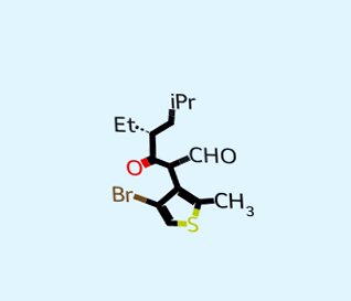 CC[C@H](CC(C)C)C(=O)C(C=O)c1c(Br)csc1C